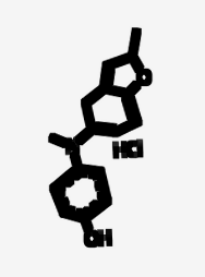 CC1C=C2CC(N(C)c3ccc(O)cc3)=CC=C2O1.Cl